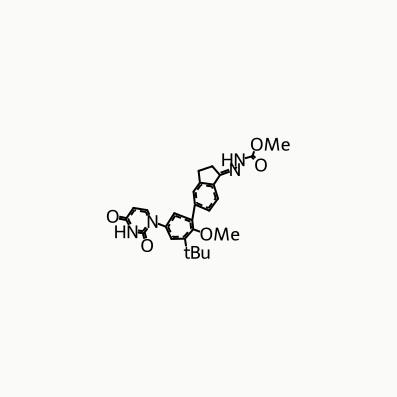 COC(=O)NN=C1CCc2cc(-c3cc(-n4ccc(=O)[nH]c4=O)cc(C(C)(C)C)c3OC)ccc21